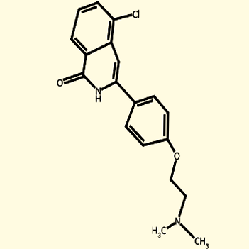 CN(C)CCOc1ccc(-c2cc3c(Cl)cccc3c(=O)[nH]2)cc1